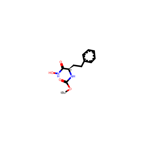 CC(C)(C)OC(=O)N[C@H](CCc1ccccc1)C(=O)NO